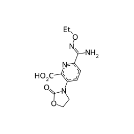 CCON=C(N)c1ccc(N2CCOC2=O)c(C(=O)O)n1